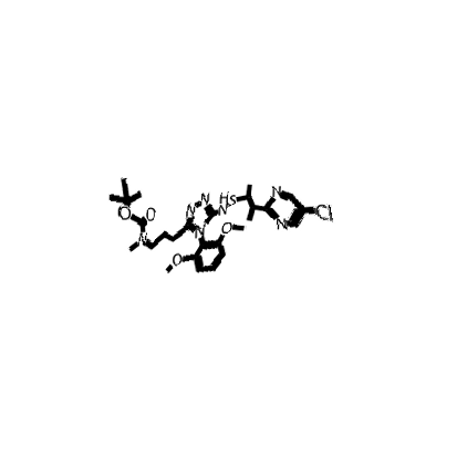 COc1cccc(OC)c1-n1c(CCCN(C)C(=O)OC(C)(C)C)nnc1NSC(C)C(C)c1ncc(Cl)cn1